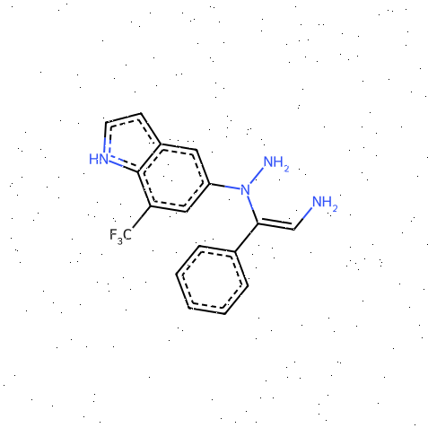 N/C=C(/c1ccccc1)N(N)c1cc(C(F)(F)F)c2[nH]ccc2c1